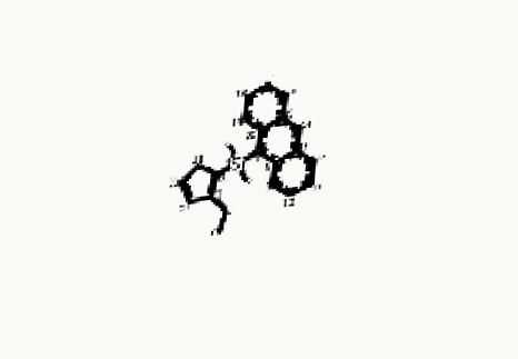 CCC1=C([Si](C)(C)c2c3ccccc3cc3ccccc23)CC=C1